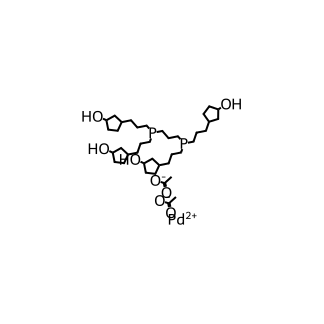 CC(=O)[O-].CC(=O)[O-].OC1CCC(CCCP(CCCC2CCC(O)C2)CCCP(CCCC2CCC(O)C2)CCCC2CCC(O)C2)C1.[Pd+2]